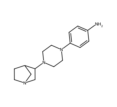 Nc1ccc(N2CCN(C3CN4CCC3C4)CC2)cc1